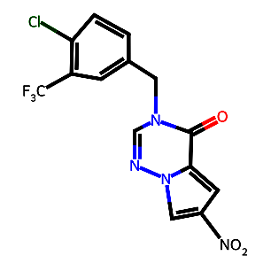 O=c1c2cc([N+](=O)[O-])cn2ncn1Cc1ccc(Cl)c(C(F)(F)F)c1